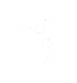 CNc1cc(-c2ccc(OC(F)(F)F)cc2)nc(N2CCCC2)c1